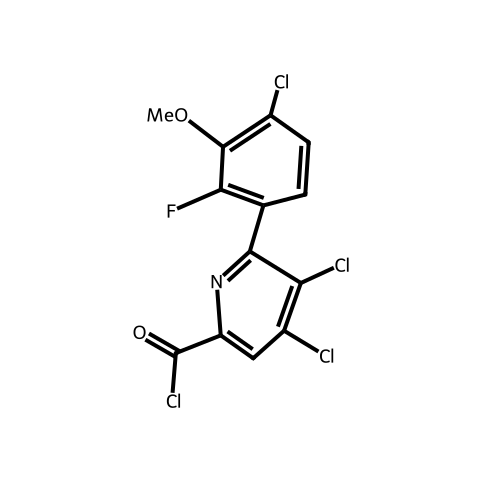 COc1c(Cl)ccc(-c2nc(C(=O)Cl)cc(Cl)c2Cl)c1F